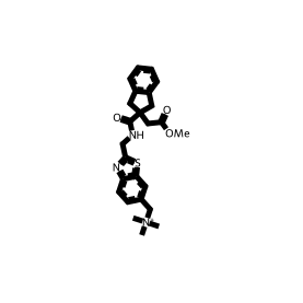 COC(=O)CC1(C(=O)NCc2nc3ccc(C[N+](C)(C)C)cc3s2)Cc2ccccc2C1